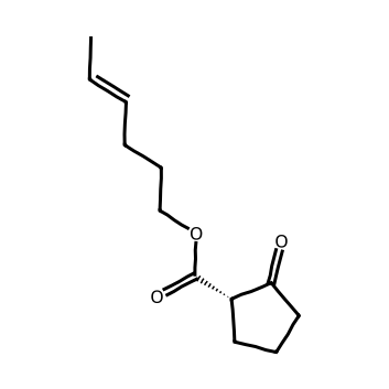 C/C=C/CCCOC(=O)[C@H]1CCCC1=O